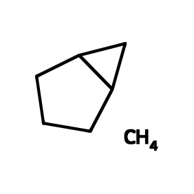 C.C1CC2CC2C1